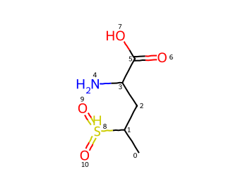 CC(CC(N)C(=O)O)[SH](=O)=O